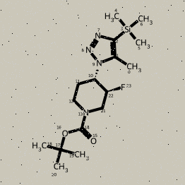 Cc1c([Si](C)(C)C)nnn1[C@H]1CCN(C(=O)OC(C)(C)C)C[C@@H]1F